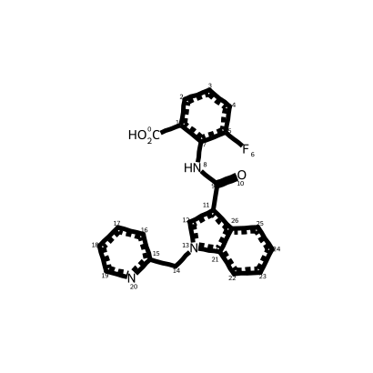 O=C(O)c1cccc(F)c1NC(=O)c1cn(Cc2ccccn2)c2ccccc12